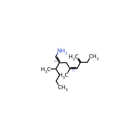 C=C(/C=C(/C)C/C(=C\N)C(C)CCC)CC